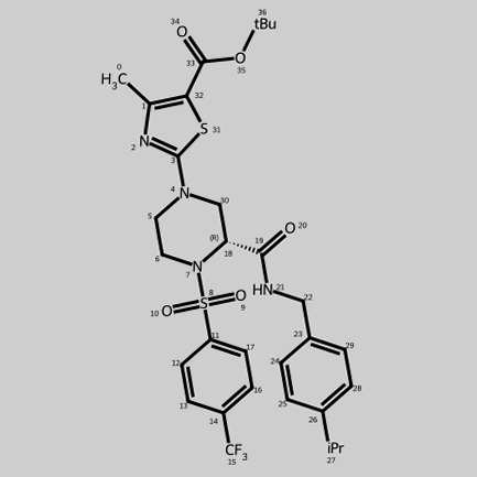 Cc1nc(N2CCN(S(=O)(=O)c3ccc(C(F)(F)F)cc3)[C@@H](C(=O)NCc3ccc(C(C)C)cc3)C2)sc1C(=O)OC(C)(C)C